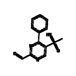 CS(=N)(=O)c1cnc(C=O)nc1-c1ccccc1